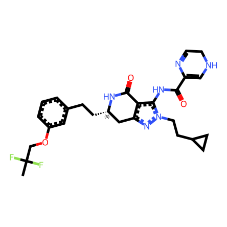 CC(F)(F)COc1cccc(CC[C@H]2Cc3nn(CCC4CC4)c(NC(=O)C4=CNCC=N4)c3C(=O)N2)c1